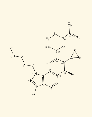 COCCCn1nc(C)c2ccc([C@H](C)N(C(=O)[C@H]3CN(C(=O)O)CCO3)C3CC3)cc21